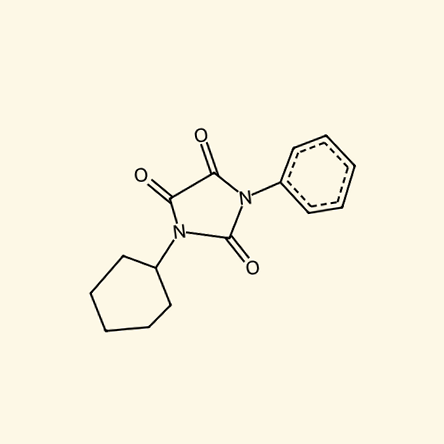 O=C1C(=O)N(C2CCCCC2)C(=O)N1c1ccccc1